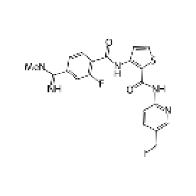 CNC(=N)c1ccc(C(=O)Nc2ccsc2C(=O)Nc2ccc(CI)cn2)c(F)c1